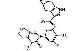 CCC/C(=N\c1cc(N(C)C(=O)C(C)N2CCOCC2)cc(Br)c1C)c1n[nH]c2c1CC1CC1C2